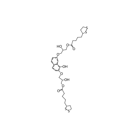 O=C(CCCCC1CCSS1)OCC(O)COc1ccc2ccc(OCC(O)COC(=O)CCCCC3CCSS3)c(O)c2c1